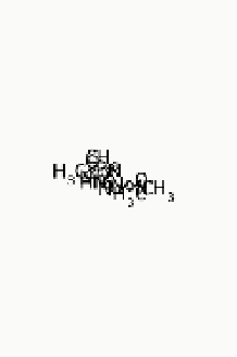 COc1ccc(C#N)cc1-c1cc(C)ncc1C(=O)Nc1nc2ccc(-c3ccc(C(=O)N(C)C)cc3)nc2s1